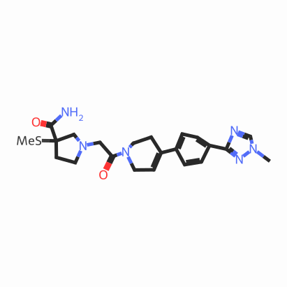 CSC1(C(N)=O)CCN(CC(=O)N2CC=C(c3ccc(-c4ncn(C)n4)cc3)CC2)C1